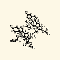 CCC(=O)OCC(=O)[C@@]1(OC(=O)CC)[C@@H](C)C[C@H]2[C@@H]3CCC4=CC(=O)C=C[C@]4(C)C3(F)[C@@H](OC(=O)CC)C[C@@]21C.CCCCC(=O)O[C@H]1C[C@@]2(C)[C@@H](C[C@H](C)[C@]2(OC(=O)CC)C(=O)COC(=O)CC)[C@@H]2CCC3=CC(=O)C=C[C@]3(C)C12F